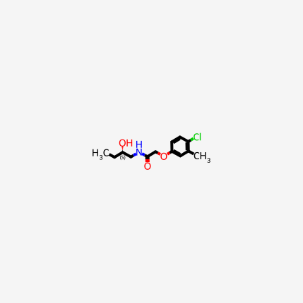 CC[C@H](O)CNC(=O)COc1ccc(Cl)c(C)c1